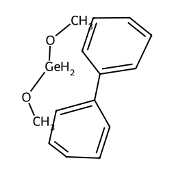 C[O][GeH2][O]C.c1ccc(-c2ccccc2)cc1